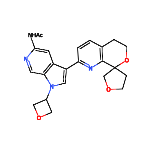 CC(=O)Nc1cc2c(-c3ccc4c(n3)C3(CCOC3)OCC4)cn(C3COC3)c2cn1